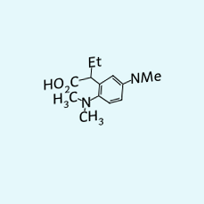 CCC(C(=O)O)c1cc(NC)ccc1N(C)C